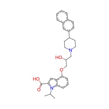 CC(C)n1c(C(=O)O)cc2c(OCC(O)CN3CCC(c4ccc5ccccc5c4)CC3)cccc21